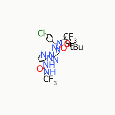 CC(C)(C)[Si](C)(C)O[C@@H](Cn1c(-c2ccc(Cl)cc2)nn(Cc2ncn(-c3ncccc3NC(=O)NCC(F)(F)F)n2)c1=O)C(F)(F)F